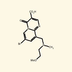 COCCN(C)Cc1cc(Br)cn2c(=O)c(C(=O)O)cnc12